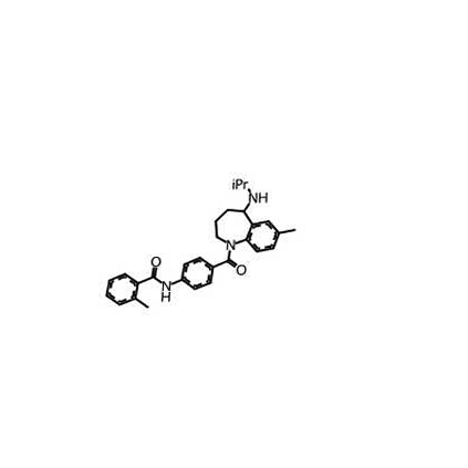 Cc1ccc2c(c1)C(NC(C)C)CCCN2C(=O)c1ccc(NC(=O)c2ccccc2C)cc1